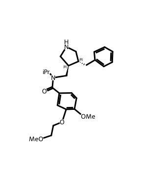 COCCOc1cc(C(=O)N(C[C@H]2CNC[C@@H]2Cc2ccccc2)C(C)C)ccc1OC